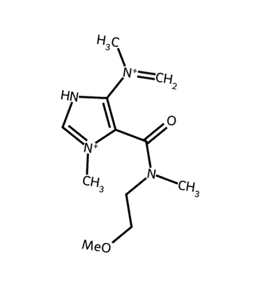 C=[N+](C)c1[nH]c[n+](C)c1C(=O)N(C)CCOC